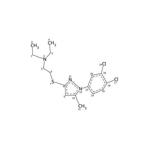 CCN(CC)CCSc1cc(C)n(-c2ccc(Cl)c(Cl)c2)n1